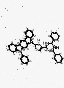 C1=CCCC(C2NC(C3=CNC(n4c5ccccc5c5cc6c7ccccc7n(-c7ccccc7)c6cc54)N3)NC(C3C=CC=CC3)N2)=C1